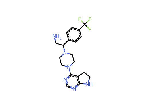 NCC(c1ccc(C(F)(F)F)cc1)N1CCN(c2ncnc3c2CCN3)CC1